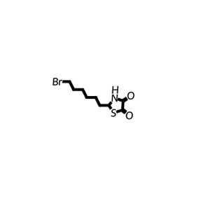 O=C1NC(CCCCCCBr)SC1=O